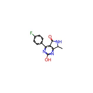 CC1NC(=O)c2c(-c3ccc(F)cc3)nc(O)nc21